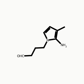 Cc1ccn(CCCC=O)c1N